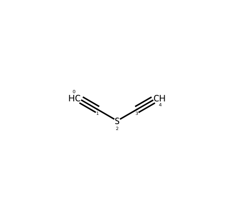 C#CSC#C